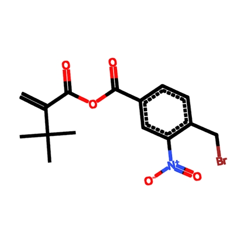 C=C(C(=O)OC(=O)c1ccc(CBr)c([N+](=O)[O-])c1)C(C)(C)C